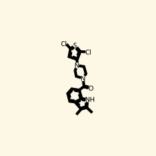 Cc1[nH]c2c(C(=O)N3CCN(c4cc(Cl)sc4Cl)CC3)cccc2c1C